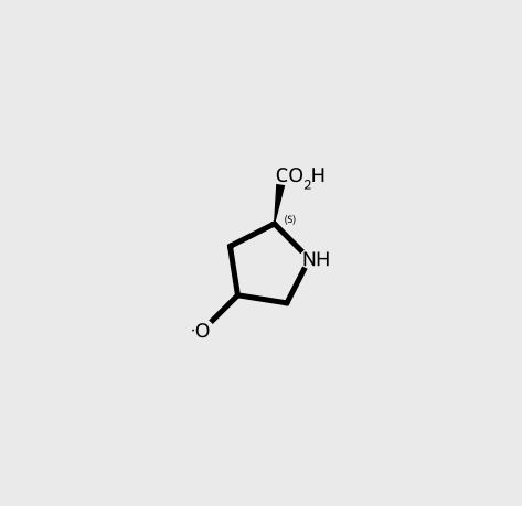 [O]C1CN[C@H](C(=O)O)C1